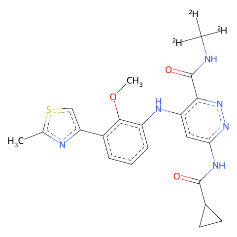 [2H]C([2H])([2H])NC(=O)c1nnc(NC(=O)C2CC2)cc1Nc1cccc(-c2csc(C)n2)c1OC